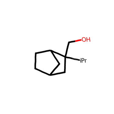 CC(C)C1(CO)CC2CCC1C2